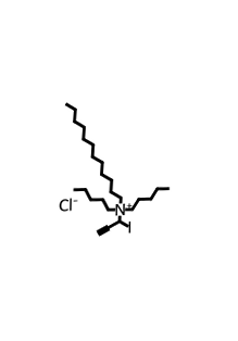 C#CC(I)[N+](CCCCC)(CCCCC)CCCCCCCCCCCC.[Cl-]